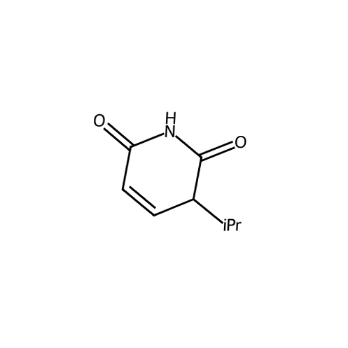 CC(C)C1C=CC(=O)NC1=O